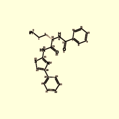 CC(C)CC[C@H](NC(=O)c1ccccc1)C(=O)Nc1nc(-c2ccccc2)cs1